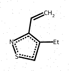 C=Cc1nscc1CC